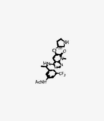 CC(=O)Nc1cc(C(C)Nc2ncnc3c2cc(O[C@H]2CCNC2)c(=O)n3C)cc(C(F)(F)F)c1